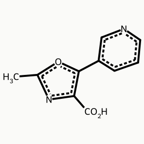 Cc1nc(C(=O)O)c(-c2cccnc2)o1